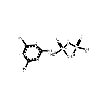 Nc1nc(S)nc(S)n1.O=P(O)(O)OP(=O)(O)O